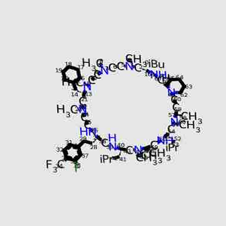 CC[C@H](C)[C@H]1CN(C)CCN(C)CCN(C)[C@@H](CC2CCCCC2)CN(C)CCN[C@@H](CCc2ccc(C(F)(F)F)c(F)c2)CN[C@@H](CC(C)C)CN(C)C(C)(C)CN[C@@H](CC(C)C)CN(C)[C@H](C)CCN2CCCC[C@H]2CN1